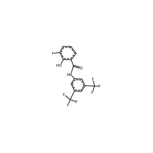 O=C(Nc1cc(C(F)(F)F)cc(C(F)(F)F)c1)c1cccc(F)c1O